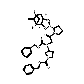 C=C1[C@@H]2C[C@H]3OB([C@@H]4CCCN4C(=O)CN(C(=O)OCc4ccccc4)C4CCN(C(=O)OCc5ccccc5)C4)O[C@@]3(C)[C@H]1C2